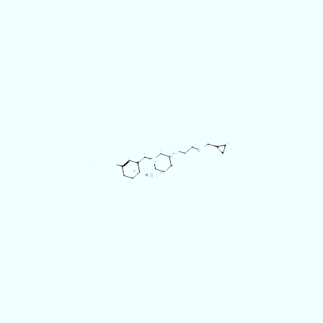 CCOC(=O)C1=CC(CN2CCC[C@H](OCCOCC3CC3)C2)[C@H](NC(C)=O)CC1